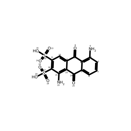 Nc1cccc2c1C(=O)c1cc(S(=O)(=O)O)c(S(=O)(=O)O)c(N)c1C2=O